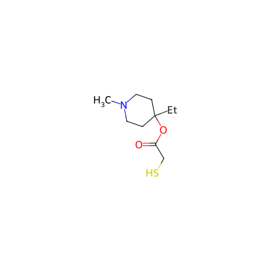 CCC1(OC(=O)CS)CCN(C)CC1